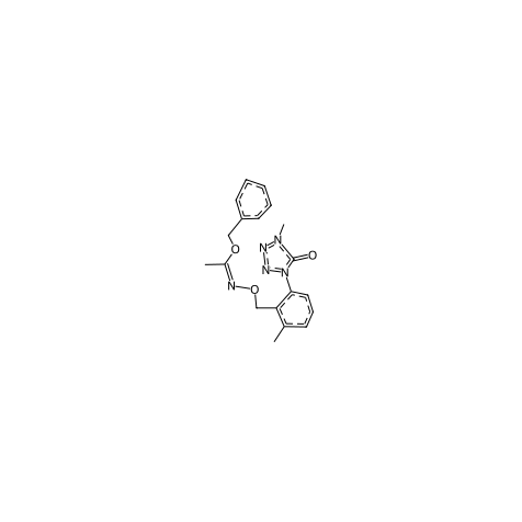 CC(=NOCc1c(C)cccc1-n1nnn(C)c1=O)OCc1ccccc1